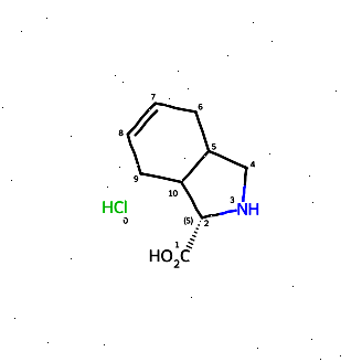 Cl.O=C(O)[C@H]1NCC2CC=CCC21